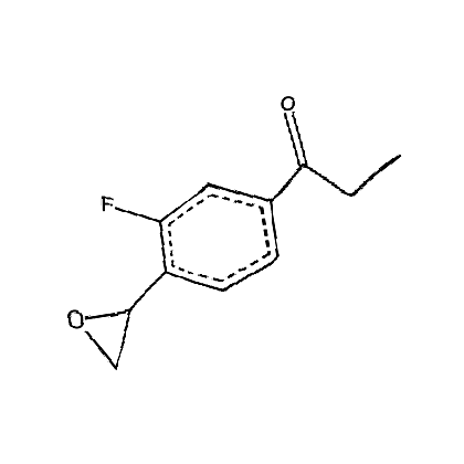 CCC(=O)c1ccc(C2CO2)c(F)c1